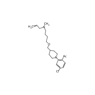 C=CCN(C)CCCCOCC1CCN(c2cc(Cl)ccc2C(C)=O)CC1